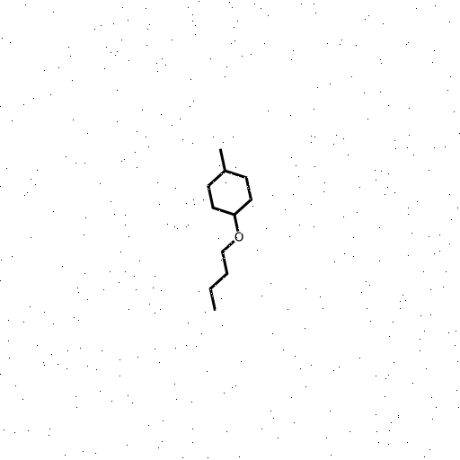 CCCCOC1CCC(C)CC1